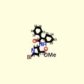 COC(=O)c1cc(Br)ncc1NC(=O)C(c1ccccc1)c1ccccc1